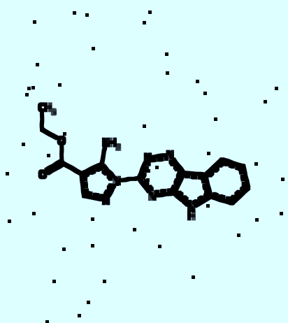 CCOC(=O)c1cnn(-c2nnc3c(n2)[nH]c2ccccc23)c1N